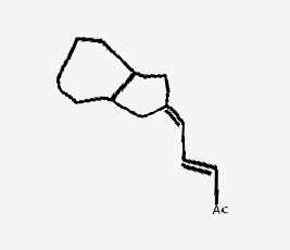 CC(=O)/C=C/C=C1CC2CCCCC2C1